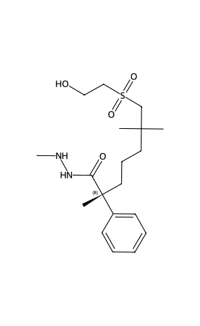 CNNC(=O)[C@](C)(CCCC(C)(C)CS(=O)(=O)CCO)c1ccccc1